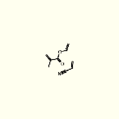 C=CC#N.C=COC(=O)C(=C)C